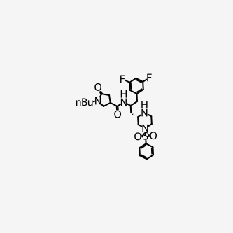 CCCCN1CC(C(=O)NC(Cc2cc(F)cc(F)c2)C[C@H]2CN(S(=O)(=O)c3ccccc3)CCN2)CC1=O